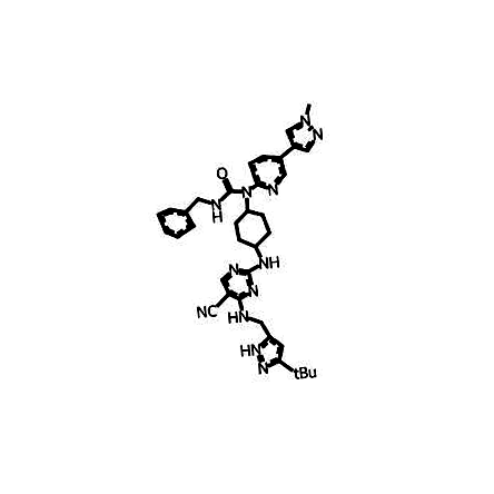 Cn1cc(-c2ccc(N(C(=O)NCc3ccccc3)C3CCC(Nc4ncc(C#N)c(NCc5cc(C(C)(C)C)n[nH]5)n4)CC3)nc2)cn1